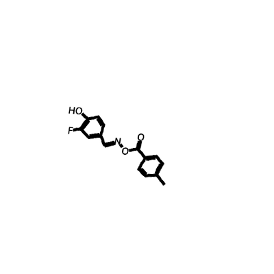 Cc1ccc(C(=O)O/N=C/c2ccc(O)c(F)c2)cc1